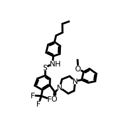 CCCCc1ccc(NSc2ccc(C(F)(F)F)c(C(=O)N3CCN(c4ccccc4OC)CC3)c2)cc1